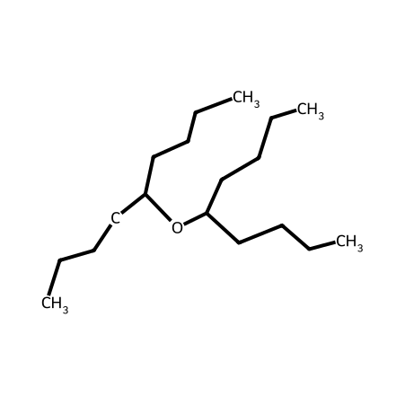 CCCCC(CCCC)OC(CCCC)CCCC